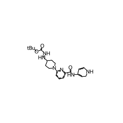 CC(C)(C)OC(=O)NNC1CCN(c2cccc(C(=O)NC3=CCNC=C3)n2)CC1